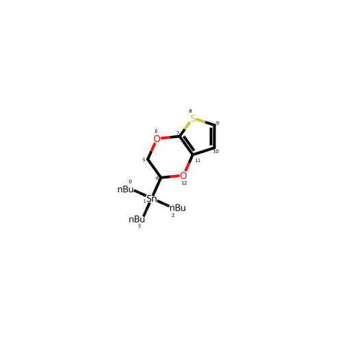 CCC[CH2][Sn]([CH2]CCC)([CH2]CCC)[CH]1COc2sccc2O1